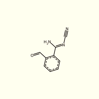 N#C/N=C(\N)c1ccccc1C=O